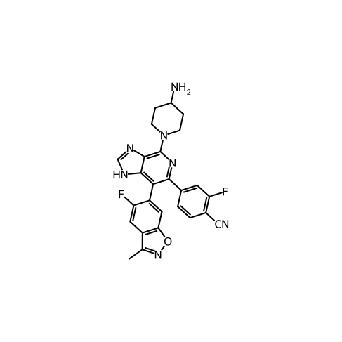 Cc1noc2cc(-c3c(-c4ccc(C#N)c(F)c4)nc(N4CCC(N)CC4)c4nc[nH]c34)c(F)cc12